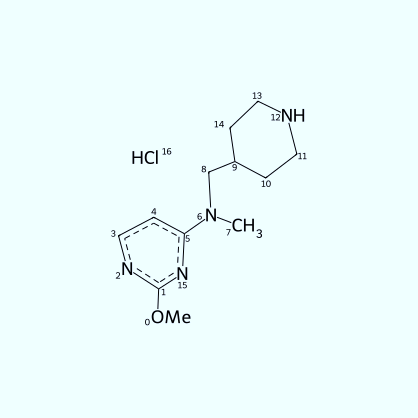 COc1nccc(N(C)CC2CCNCC2)n1.Cl